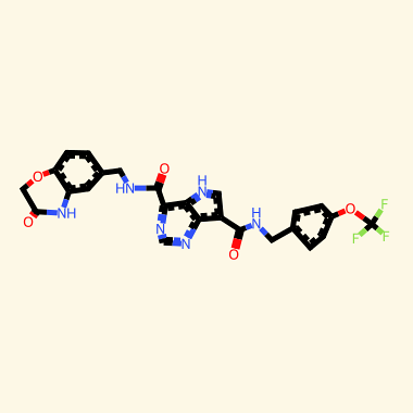 O=C1COc2ccc(CNC(=O)c3ncnc4c(C(=O)NCc5ccc(OC(F)(F)F)cc5)c[nH]c34)cc2N1